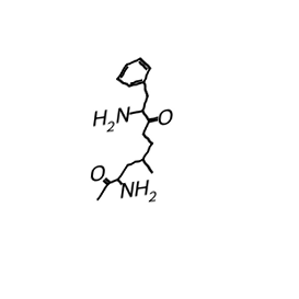 CC(=O)C(N)CC(C)CCC(=O)C(N)Cc1ccccc1